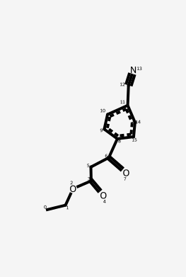 CCOC(=O)CC(=O)c1ccc(C#N)cc1